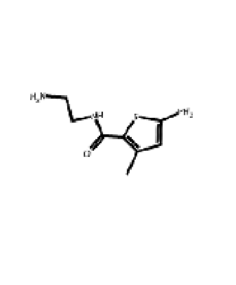 Cc1cc(P)sc1C(=O)NCCN